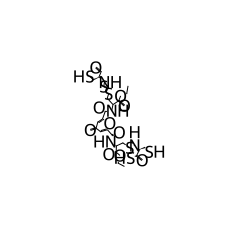 CCOC(=O)C(CSN[C@@H](CS)C(=O)S)NC(=O)c1cc(=O)cc(C(=O)NC(CSSN[C@H](C=O)CS)C(=O)OCC)o1